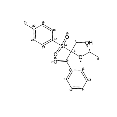 CCOC(CO)(C(=O)c1ccccc1)S(=O)(=O)c1ccc(C)cc1